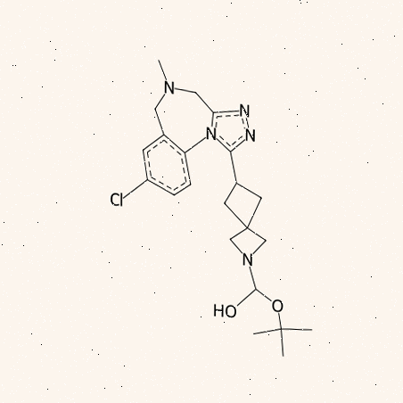 CN1Cc2cc(Cl)ccc2-n2c(nnc2C2CC3(C2)CN(C(O)OC(C)(C)C)C3)C1